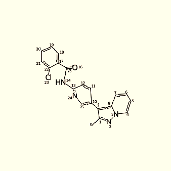 Cc1nn2ccccc2c1-c1ccc(NC(=O)c2ccccc2Cl)nc1